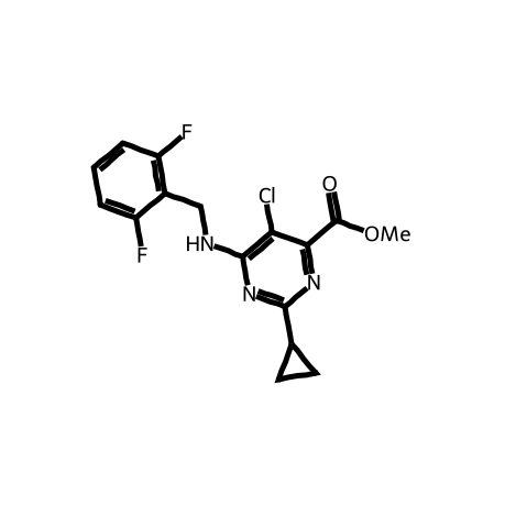 COC(=O)c1nc(C2CC2)nc(NCc2c(F)cccc2F)c1Cl